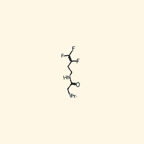 C[C](C)CC(=O)NCCC(F)=C(F)F